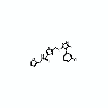 Cc1nnc(SCc2nc(C(=O)NCc3ccco3)cs2)n1-c1cccc(Cl)c1